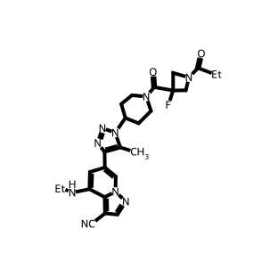 CCNc1cc(-c2nnn(C3CCN(C(=O)C4(F)CN(C(=O)CC)C4)CC3)c2C)cn2ncc(C#N)c12